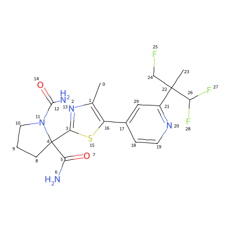 Cc1nc(C2(C(N)=O)CCCN2C(N)=O)sc1-c1ccnc(C(C)(CF)C(F)F)c1